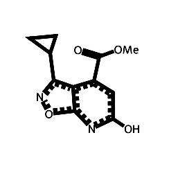 COC(=O)c1cc(O)nc2onc(C3CC3)c12